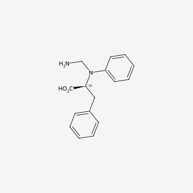 NCN(c1ccccc1)[C@@H](Cc1ccccc1)C(=O)O